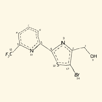 OCc1nc(-c2cccc(C(F)(F)F)n2)sc1Br